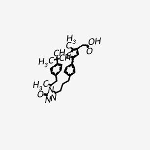 Cc1sc(-c2ccc(CCCC3N=NC(=O)N3C(C)Cc3ccc(C(C)(C)C)cc3)cc2)cc1CC(=O)O